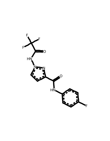 O=C(Nc1ccc(F)cc1)c1ccn(NC(=O)C(F)(F)F)n1